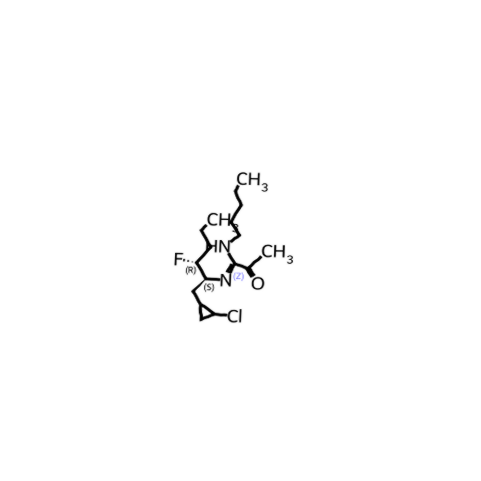 CCCCCN/C(=N\[C@@H](CC1CC1Cl)[C@H](F)CCC)C(C)=O